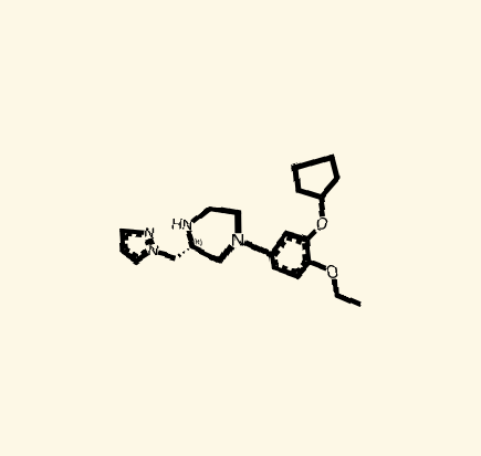 CCOc1ccc(N2CCN[C@@H](Cn3cccn3)C2)cc1OC1CCCC1